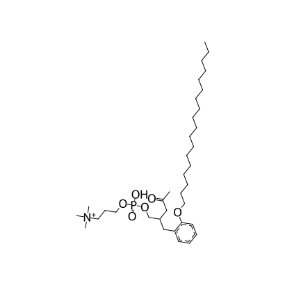 CCCCCCCCCCCCCCCCCCOc1ccccc1CC(COP(=O)(O)OCCC[N+](C)(C)C)CC(C)=O